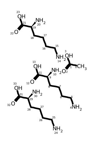 CC(=O)O.NCCCC[C@H](N)C(=O)O.NCCCC[C@H](N)C(=O)O.NCCCC[C@H](N)C(=O)O